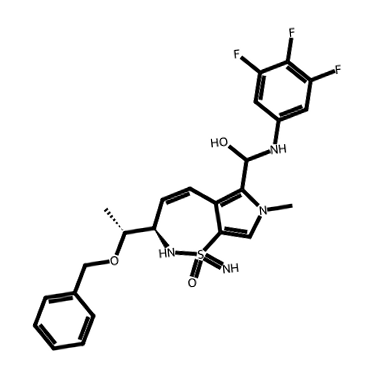 C[C@@H](OCc1ccccc1)[C@H]1C=Cc2c(cn(C)c2C(O)Nc2cc(F)c(F)c(F)c2)S(=N)(=O)N1